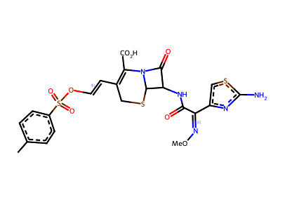 CO/N=C(\C(=O)NC1C(=O)N2C(C(=O)O)=C(/C=C/OS(=O)(=O)c3ccc(C)cc3)CSC12)c1csc(N)n1